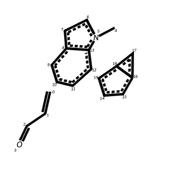 C=CC=O.Cn1ccc2ccccc21.c1cc2cc-2c1